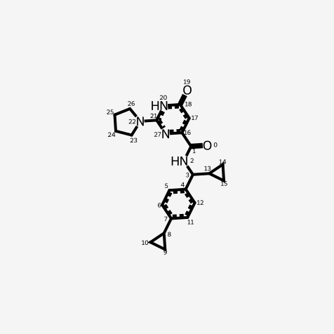 O=C(NC(c1ccc(C2CC2)cc1)C1CC1)c1cc(=O)[nH]c(N2CCCC2)n1